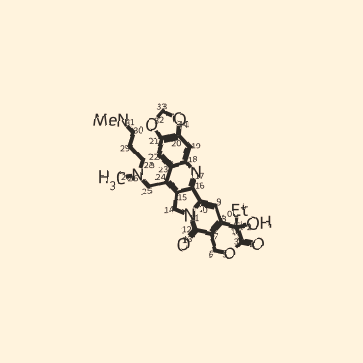 CC[C@@]1(O)C(=O)OCc2c1cc1n(c2=O)Cc2c-1nc1cc3c(cc1c2CN(C)CCCNC)OCO3